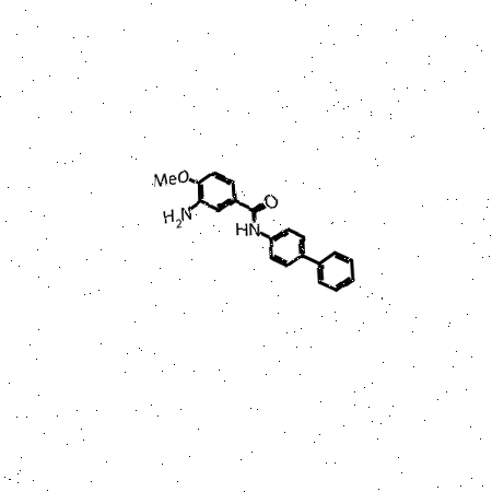 COc1ccc(C(=O)Nc2ccc(-c3ccccc3)cc2)cc1N